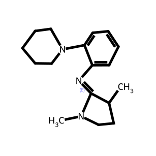 CC1CCN(C)/C1=N/c1ccccc1N1CCCCC1